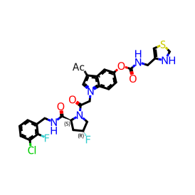 CC(=O)c1cn(CC(=O)N2C[C@H](F)C[C@H]2C(=O)NCc2cccc(Cl)c2F)c2ccc(OC(=O)NCC3=CSCN3)cc12